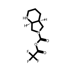 O=C(OC(=O)C(F)(F)F)N1C[C@@H]2CCCN[C@@H]2C1